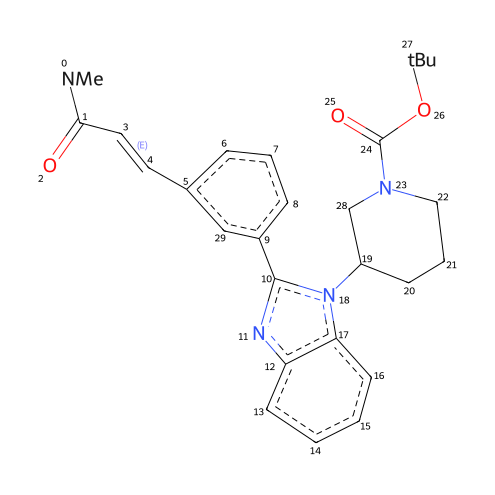 CNC(=O)/C=C/c1cccc(-c2nc3ccccc3n2C2CCCN(C(=O)OC(C)(C)C)C2)c1